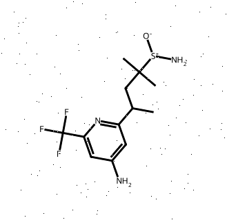 CC(CC(C)(C)[S+](N)[O-])c1cc(N)cc(C(F)(F)F)n1